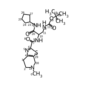 CN1CCc2nc(C(=O)NC(CNC(=O)OC(C)(C)C)C(=O)NC3CCCC3)sc2C1